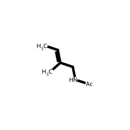 C/C=C(\C)CNC(C)=O